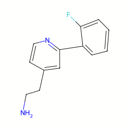 NCCc1ccnc(-c2ccccc2F)c1